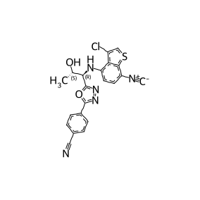 [C-]#[N+]c1ccc(N[C@@H](c2nnc(-c3ccc(C#N)cc3)o2)[C@H](C)O)c2c(Cl)csc12